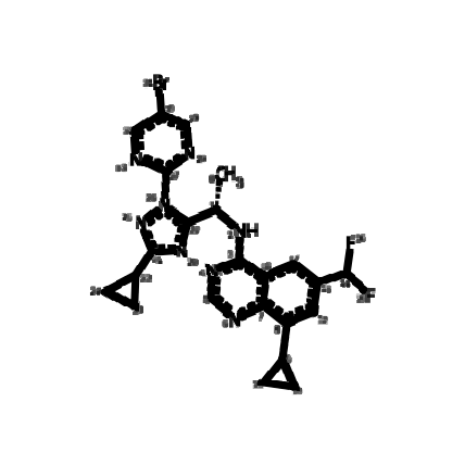 C[C@H](Nc1ncnc2c(C3CC3)cc(C(F)F)cc12)c1nc(C2CC2)nn1-c1ncc(Br)cn1